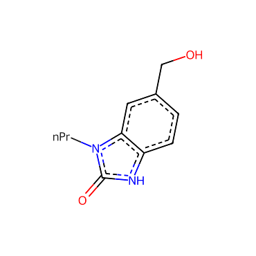 CCCn1c(=O)[nH]c2ccc(CO)cc21